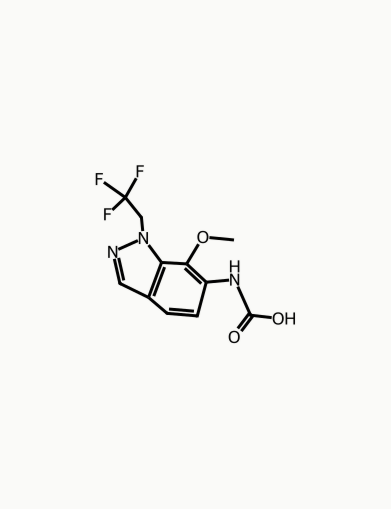 COc1c(NC(=O)O)ccc2cnn(CC(F)(F)F)c12